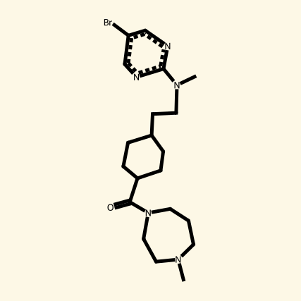 CN1CCCN(C(=O)C2CCC(CCN(C)c3ncc(Br)cn3)CC2)CC1